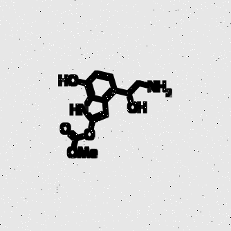 COC(=O)Oc1cc2c(C(O)CN)ccc(O)c2[nH]1